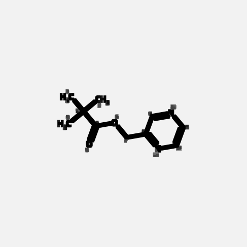 CC(C)(C)C(=O)OCc1cnccn1